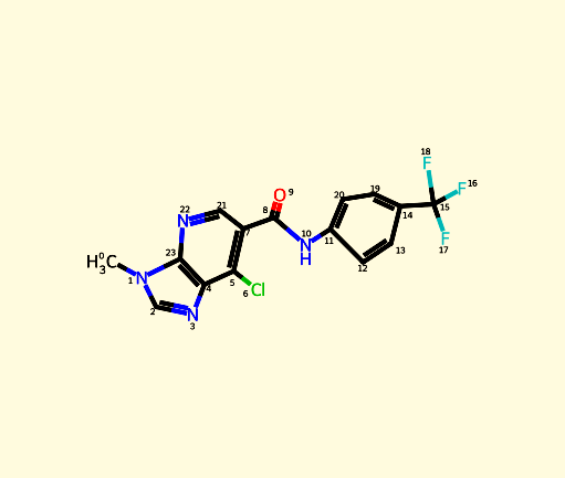 Cn1cnc2c(Cl)c(C(=O)Nc3ccc(C(F)(F)F)cc3)cnc21